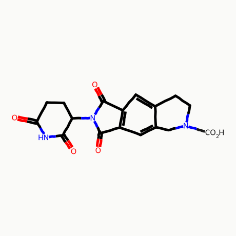 O=C1CCC(N2C(=O)c3cc4c(cc3C2=O)CN(C(=O)O)CC4)C(=O)N1